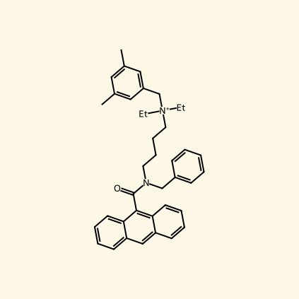 CC[N+](CC)(CCCCN(Cc1ccccc1)C(=O)c1c2ccccc2cc2ccccc12)Cc1cc(C)cc(C)c1